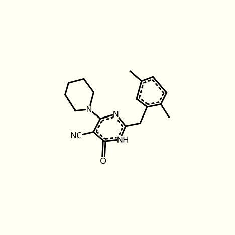 Cc1ccc(C)c(Cc2nc(N3CCCCC3)c(C#N)c(=O)[nH]2)c1